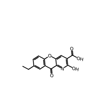 CCc1ccc2oc3cc(C(=O)O)c(O)nc3c(=O)c2c1